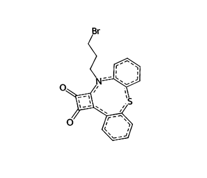 O=c1c(=O)c2c1c1ccccc1sc1ccccc1n2CCCBr